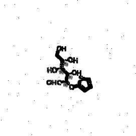 O=C[C@H](Oc1cccs1)[C@@H](O)[C@H](O)[C@@H](O)CO